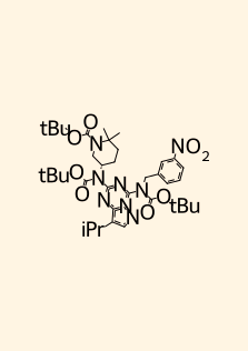 CC(C)c1cnn2c(N(Cc3cccc([N+](=O)[O-])c3)C(=O)OC(C)(C)C)nc(N(C(=O)OC(C)(C)C)[C@H]3CCC(C)(C)N(C(=O)OC(C)(C)C)C3)nc12